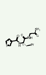 CC(C)C[C@H](NC(=O)c1ccsc1)C(=O)NCC(N)=O